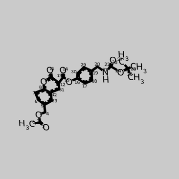 CC(=O)OCc1ccc2oc(=O)c(C(=O)Oc3ccc(CNC(=O)OC(C)(C)C)cc3)cc2c1